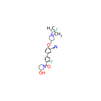 CC(C)(F)CN1CCC(COc2ccc(-c3ccc(C(=O)N4CCC[C@@H](O)C4)c(F)c3)cc2C#N)CC1